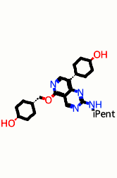 CCCC(C)Nc1ncc2c(OC[C@H]3CC[C@@H](O)CC3)ncc([C@H]3CC[C@H](O)CC3)c2n1